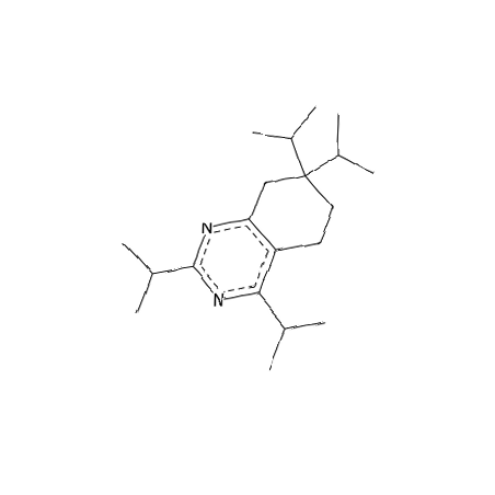 CC(C)c1nc2c(c(C(C)C)n1)CCC(C(C)C)(C(C)C)C2